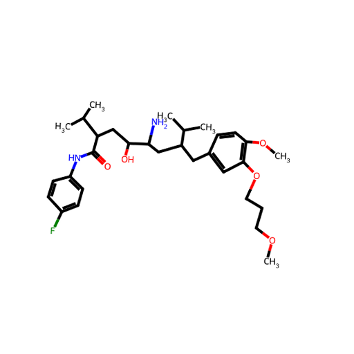 COCCCOc1cc(CC(CC(N)C(O)CC(C(=O)Nc2ccc(F)cc2)C(C)C)C(C)C)ccc1OC